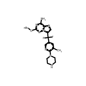 CCCCOc1nc(N)c2ncc(C(F)(F)c3cnc(N4CCNCC4)c(C)c3)n2n1